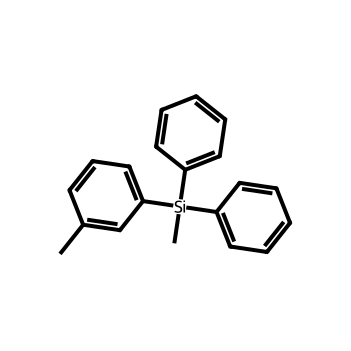 Cc1cccc([Si](C)(c2ccccc2)c2ccccc2)c1